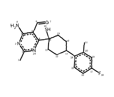 Cc1nc(N)c(C=O)c(C2(S)CCC(c3ccc(F)cc3C)CC2)n1